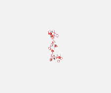 c1ccc(-n2c3ccc(-c4ccc5oc6c(-c7ccc8c9cc(-c%10ccc%11c(c%10)c%10c%12ccccc%12ccc%10n%11-c%10ncc%11cccc%12c%11c%10-c%10ccccc%10-%12)ccc9n(-c9ccccc9)c8c7)cccc6c5c4)cc3c3cc(-c4ncc5cccc6c5c4-c4ccccc4-6)ccc32)cc1